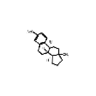 CC(=O)OC1=CC2=C(C=I1)[C@H]1CC[C@]3(C)CCC[C@H]3[C@@H]1CC2